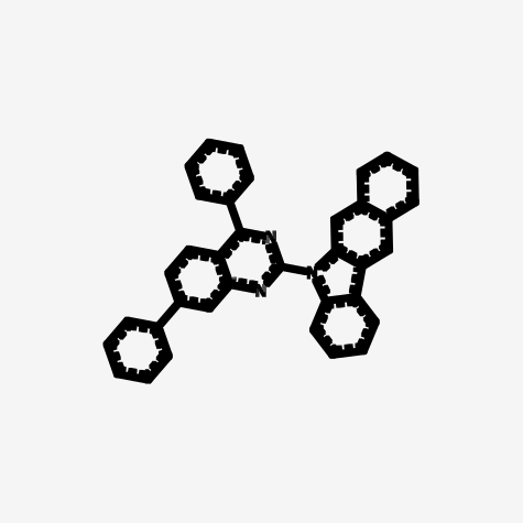 c1ccc(-c2ccc3c(-c4ccccc4)nc(-n4c5ccccc5c5cc6ccccc6cc54)nc3c2)cc1